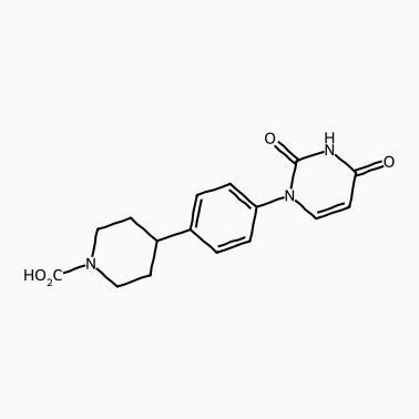 O=C(O)N1CCC(c2ccc(-n3ccc(=O)[nH]c3=O)cc2)CC1